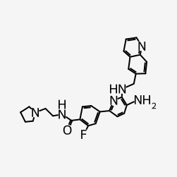 Nc1ccc(-c2ccc(C(=O)NCCN3CCCC3)c(F)c2)nc1NCc1ccc2ncccc2c1